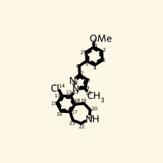 COc1cccc(Cc2cc(C)n(-c3c(Cl)ccc4c3CCNCC4)n2)c1